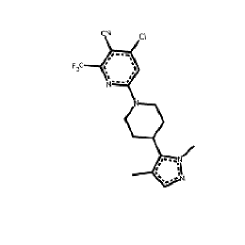 Cc1cnn(C)c1C1CCN(c2cc(Cl)c(C#N)c(C(F)(F)F)n2)CC1